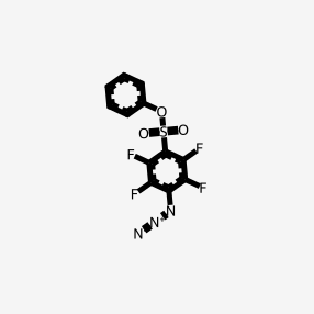 [N-]=[N+]=Nc1c(F)c(F)c(S(=O)(=O)Oc2ccccc2)c(F)c1F